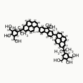 CC(C)(c1cc(CO)c(O)c(CO)c1)c1cc2ccc3ccc(-c4ccc5c(c4)C(C)(C)c4cc(-c6ccc7ccc8cc(C(C)(C)c9cc(CO)c(O)c(CO)c9)cc9ccc6c7c89)ccc4-5)c4ccc(c1)c2c34